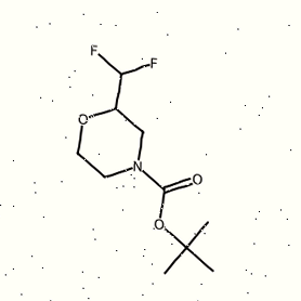 CC(C)(C)OC(=O)N1CCOC(C(F)F)C1